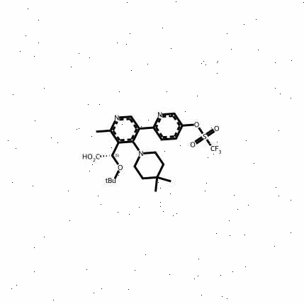 Cc1ncc(-c2ccc(OS(=O)(=O)C(F)(F)F)cn2)c(N2CCC(C)(C)CC2)c1[C@H](OC(C)(C)C)C(=O)O